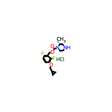 CC[C@@H]1CNCCN1C(=O)OCc1c(F)ccc(OCC2CC2)c1F.Cl